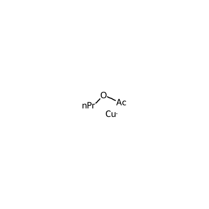 CCCOC(C)=O.[Cu]